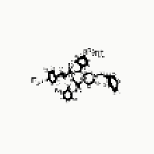 CCCCCc1ccc(CN(C(=O)/C=C/c2ccc(C(F)(F)F)cc2)[C@@H](Cc2ccccc2Br)C(=O)N2CCN(Cc3ccccc3)CC2)cc1